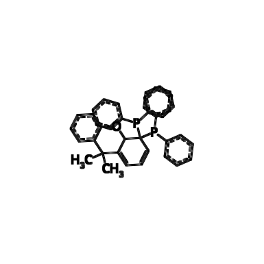 CC1(C)C2=CC=CC(P(c3ccccc3)c3ccccc3)(P(c3ccccc3)c3ccccc3)C2Oc2ccccc21